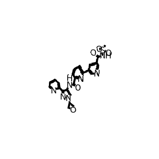 CS(=O)(=O)NC(=O)c1cncc(-c2cccc(C(=O)Nc3cn(C4COC4)nc3-c3ccccn3)n2)c1